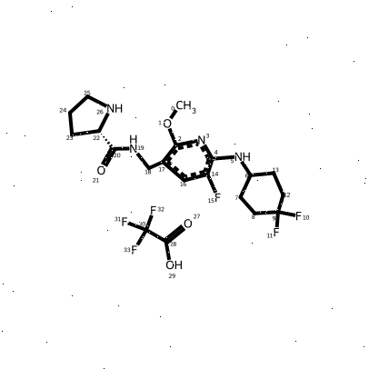 COc1nc(NC2CCC(F)(F)CC2)c(F)cc1CNC(=O)[C@@H]1CCCN1.O=C(O)C(F)(F)F